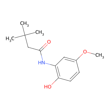 COc1ccc(O)c(NC(=O)CC(C)(C)C)c1